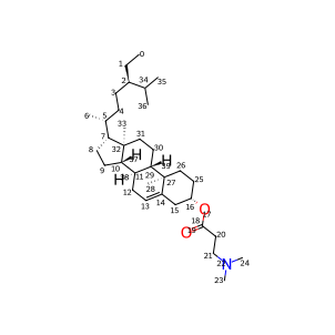 CC[C@H](CC[C@@H](C)[C@H]1CC[C@H]2[C@@H]3CC=C4C[C@@H](OC(=O)CCN(C)C)CC[C@]4(C)[C@H]3CC[C@]12C)C(C)C